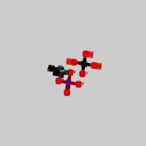 O=P([O-])([O-])[O-].[Mg+2].[Mg+2].[O-][Si](O)(O)O